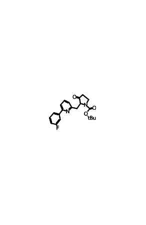 CC(C)(C)OC(=O)N1CCC(=O)C1Cc1cccc(-c2cccc(F)c2)n1